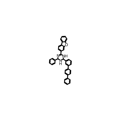 c1ccc(-c2ccc(-c3cccc(C4NC(c5ccc6c(c5)oc5ccccc56)=NC(c5ccccc5)N4)c3)cc2)cc1